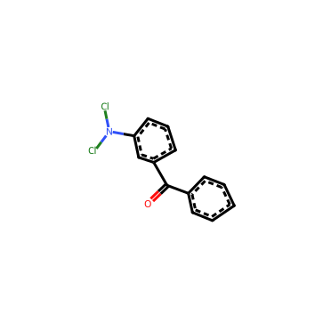 O=C(c1ccccc1)c1cccc(N(Cl)Cl)c1